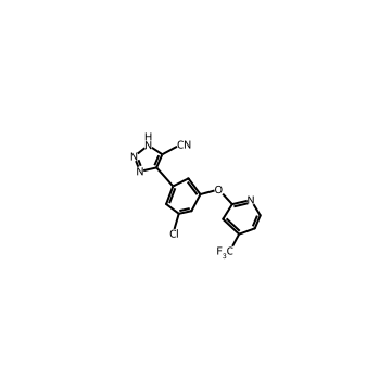 N#Cc1[nH]nnc1-c1cc(Cl)cc(Oc2cc(C(F)(F)F)ccn2)c1